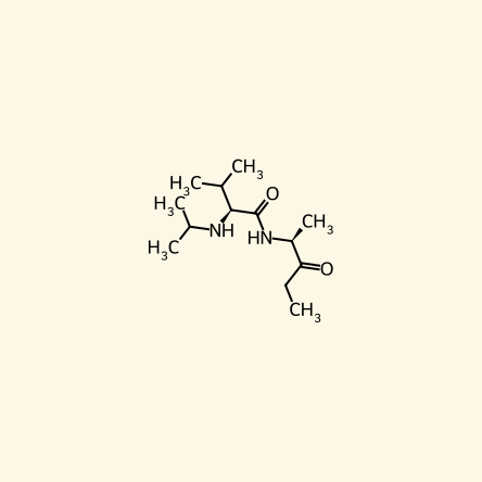 CCC(=O)[C@H](C)NC(=O)[C@@H](NC(C)C)C(C)C